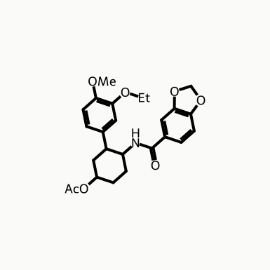 CCOc1cc(C2CC(OC(C)=O)CCC2NC(=O)c2ccc3c(c2)OCO3)ccc1OC